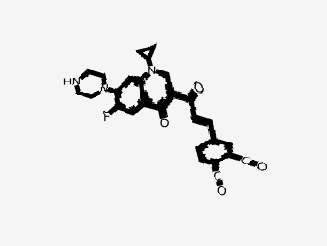 O=C=c1ccc(C=CC(=O)c2cn(C3CC3)c3cc(N4CCNCC4)c(F)cc3c2=O)cc1=C=O